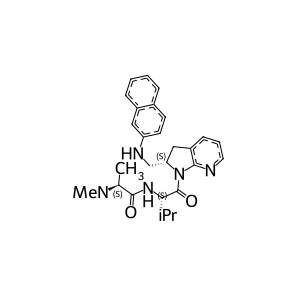 CN[C@@H](C)C(=O)N[C@H](C(=O)N1c2ncccc2C[C@H]1CNc1ccc2ccccc2c1)C(C)C